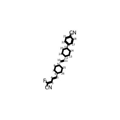 N#CC(F)=CC=C[C@H]1CC[C@H](C=C[C@H]2CC[C@H](c3ccc(C#N)cc3)CC2)CC1